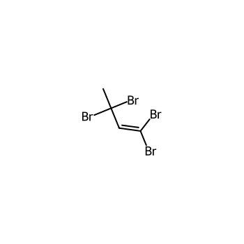 CC(Br)(Br)C=C(Br)Br